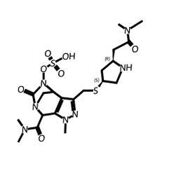 CN(C)C(=O)C[C@@H]1C[C@H](SCc2nn(C)c3c2C2CN(C(=O)N2OS(=O)(=O)O)C3C(=O)N(C)C)CN1